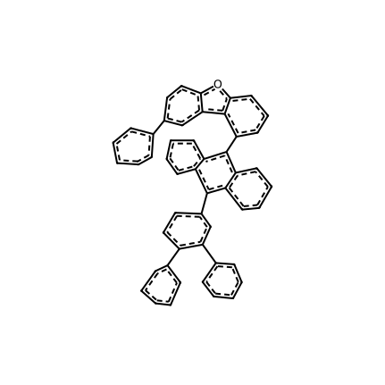 c1ccc(-c2ccc3oc4cccc(-c5c6ccccc6c(-c6ccc(-c7ccccc7)c(-c7ccccc7)c6)c6ccccc56)c4c3c2)cc1